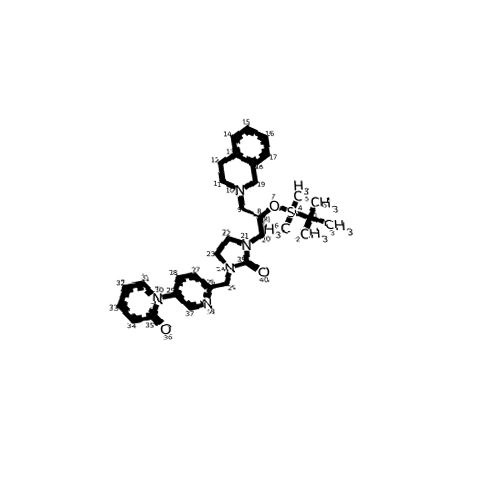 CC(C)(C)[Si](C)(C)O[C@H](CN1CCc2ccccc2C1)CN1CCN(Cc2ccc(-n3ccccc3=O)cn2)C1=O